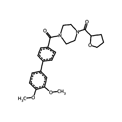 COc1ccc(-c2ccc(C(=O)N3CCN(C(=O)C4CCCO4)CC3)cc2)cc1OC